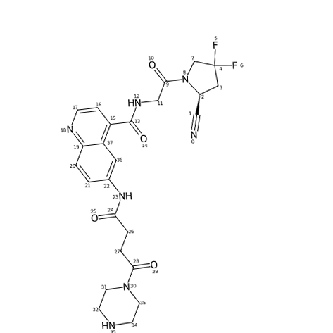 N#C[C@@H]1CC(F)(F)CN1C(=O)CNC(=O)c1ccnc2ccc(NC(=O)CCC(=O)N3CCNCC3)cc12